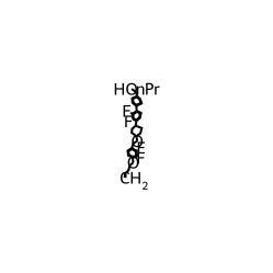 C=CCCOc1ccc(COC2CCC(c3ccc(-c4ccc(C(O)CCC)cc4)c(F)c3F)CC2)c(F)c1F